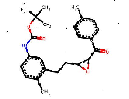 Cc1ccc(C(=O)C2OC2CCc2cc(NC(=O)OC(C)(C)C)ccc2C)cc1